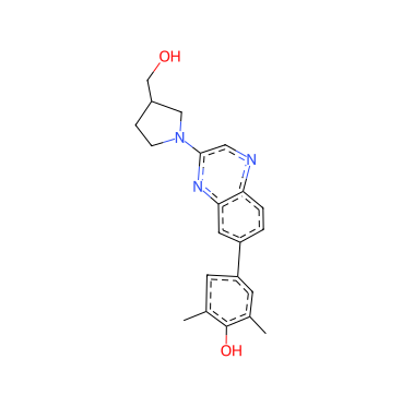 Cc1cc(-c2ccc3ncc(N4CCC(CO)C4)nc3c2)cc(C)c1O